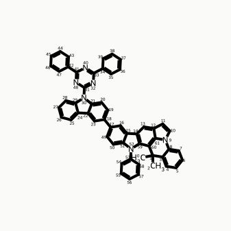 CC1(C)c2ccccc2-n2ccc3cc4c5cc(-c6ccc7c(c6)c6ccccc6n7-c6nc(-c7ccccc7)nc(-c7ccccc7)n6)ccc5n(-c5ccccc5)c4c1c32